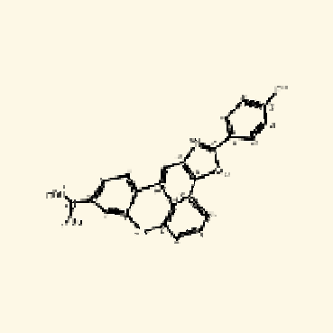 CCCCN(CCCC)c1ccc2c(c1)Oc1cccc3c1c-2cc1nc(-c2ccc(F)cc2)oc13